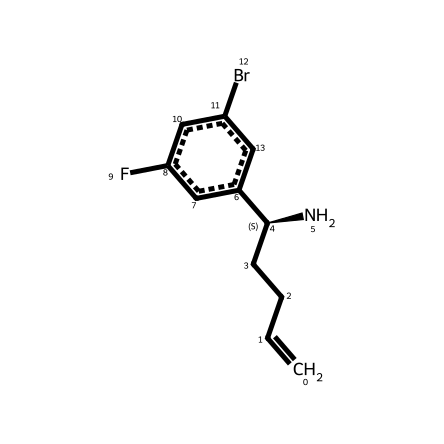 C=CCC[C@H](N)c1cc(F)cc(Br)c1